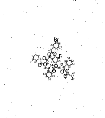 Cc1cccc(C(OC(=O)C(OC(=O)Cc2cccc(Br)c2)c2cccc(F)c2)C(=O)OCC(CC(=O)OCCC(C(=O)OC(=O)C2CC2)c2ccccc2)c2ccccc2)c1